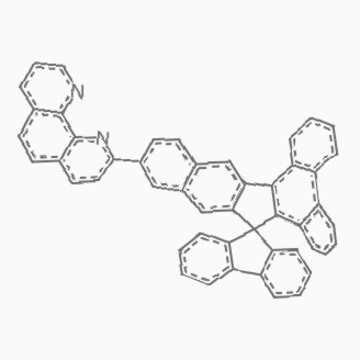 c1ccc2c(c1)-c1ccccc1C21c2cc3cc(-c4ccc5ccc6cccnc6c5n4)ccc3cc2-c2c1c1ccccc1c1ccccc21